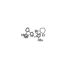 CCCCc1cn(C2C(CC)CCCCCC2C(C)C)c(=O)n1Cc1ccc(-c2ccccc2-c2nnn[nH]2)cn1